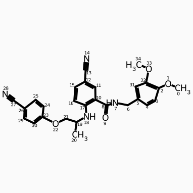 COc1ccc(CNC(=O)c2cc(C#N)ccc2NC(C)COc2ccc(C#N)cc2)cc1OC